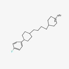 CCC[SiH]1CCC(CCCCC2CCC(c3ccc(F)cc3)CC2)CC1